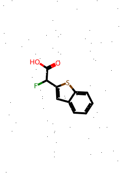 O=C(O)C(F)c1cc2ccccc2s1